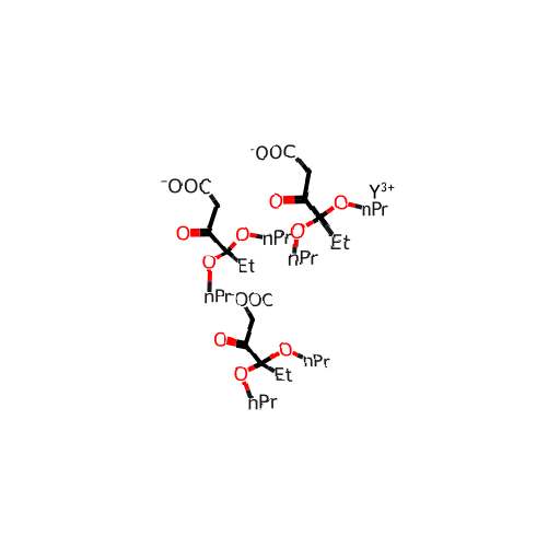 CCCOC(CC)(OCCC)C(=O)CC(=O)[O-].CCCOC(CC)(OCCC)C(=O)CC(=O)[O-].CCCOC(CC)(OCCC)C(=O)CC(=O)[O-].[Y+3]